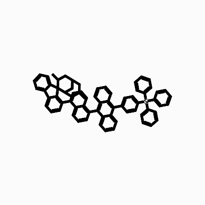 CC1CC2CC(C)C3(c4ccccc4-c4cccc(-c5cccc6c(-c7c8ccccc8c(-c8ccc([Si](c9ccccc9)(c9ccccc9)c9ccccc9)cc8)c8ccccc78)cccc56)c43)C(C1)C2